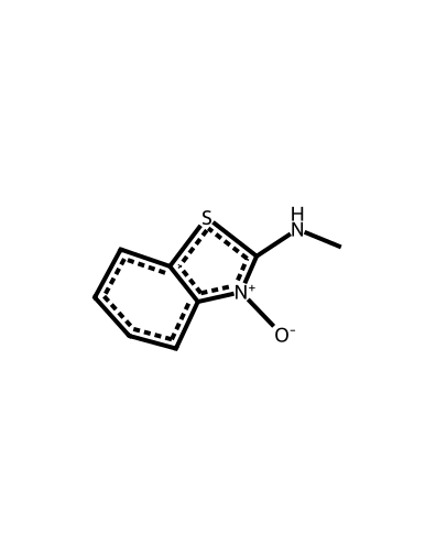 CNc1sc2ccccc2[n+]1[O-]